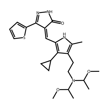 COC(C)N(CCc1c(C)[nH]c(C=C2C(=O)NN=C2c2cccs2)c1C1CC1)C(C)OC